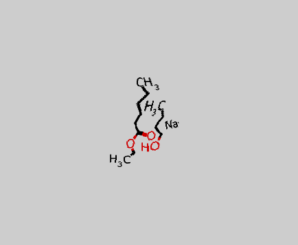 CCCCCC(=O)OCC.CCCCO.[Na]